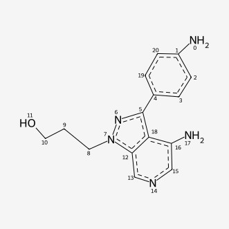 Nc1ccc(-c2nn(CCCO)c3cncc(N)c23)cc1